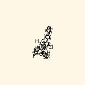 Cc1c(-c2ccc(N3CCOCC3)cc2)cc(Cl)c2cn(C(C(=O)Nc3nccs3)c3ncn4c3C[C@@H](F)C4)nc12